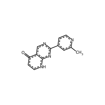 Cc1cc(-c2ncc3c(=O)cc[nH]c3n2)ccn1